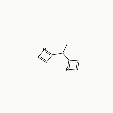 CC(C1=NC=C1)C1=NC=C1